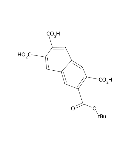 CC(C)(C)OC(=O)c1cc2cc(C(=O)O)c(C(=O)O)cc2cc1C(=O)O